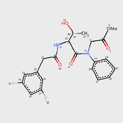 COC(=O)CN(C(=O)[C@@H](NC(=O)Cc1cc(F)cc(F)c1)[C@@H](C)O)c1ccccc1